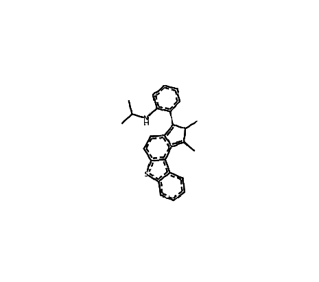 CC1=c2c(ccc3sc4ccccc4c23)=C(c2ccccc2NC(C)C)C1C